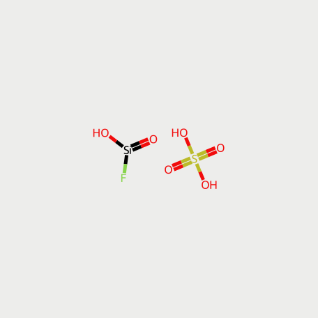 O=S(=O)(O)O.O=[Si](O)F